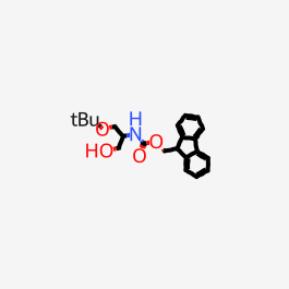 CC(C)(C)OCC(CO)NC(=O)OCC1c2ccccc2-c2ccccc21